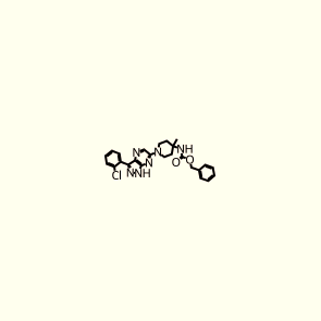 CC1(NC(=O)OCc2ccccc2)CCN(c2cnc3c(-c4ccccc4Cl)n[nH]c3n2)CC1